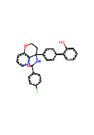 O=C(N[C@]1(c2ccc(-c3ccccc3O)cc2)CCOc2cccnc21)c1ccc(F)cc1